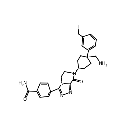 NC[C@]1(c2cccc(CI)c2)CC[C@H](N2CCn3c(nnc3-c3ccc(C(N)=O)cc3)C2=O)CC1